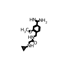 COc1cc(C(=N)N)ccc1CNC(=O)CNC1CC1